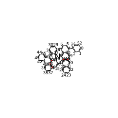 c1ccc(-c2cccc3c(N(c4ccccc4-c4cccc5ccccc45)c4ccccc4-c4cc5ccccc5c5ccccc45)cccc23)cc1